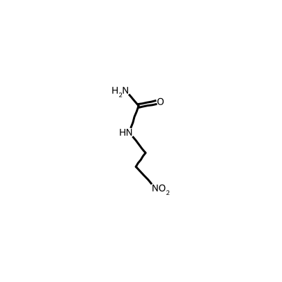 NC(=O)NCC[N+](=O)[O-]